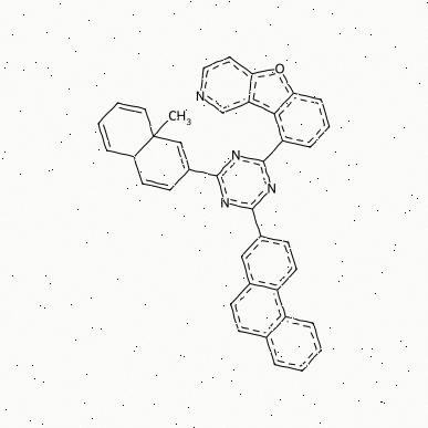 CC12C=CC=CC1C=CC(c1nc(-c3ccc4c(ccc5ccccc54)c3)nc(-c3cccc4oc5ccncc5c34)n1)=C2